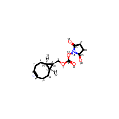 O=C(OC[C@@H]1[C@@H]2CC/C=C\CC[C@@H]21)ON1C(=O)CCC1=O